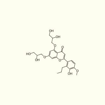 CCCc1c(-c2cc(=O)c3c(OCC(O)CO)cc(OCC(O)CO)cc3o2)ccc(OC)c1O